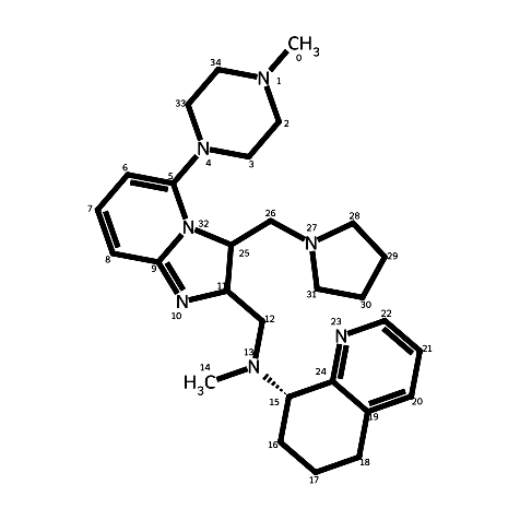 CN1CCN(C2=CC=CC3=NC(CN(C)[C@H]4CCCc5cccnc54)C(CN4CCCC4)N23)CC1